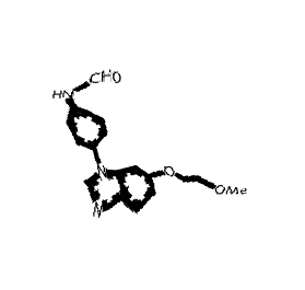 COCCOc1ccc2ncn(-c3ccc(NC=O)cc3)c2c1